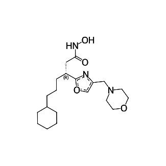 O=C(C[C@@H](CCCC1CCCCC1)c1nc(CN2CCOCC2)co1)NO